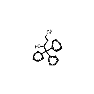 OCCC(O)C(c1ccccc1)(c1ccccc1)c1ccccc1